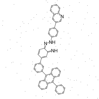 N=C1C=C(c2cccc(-c3c4ccccc4c(-c4ccccc4)c4ccccc34)c2)C=C/C1=N/Nc1ccc(-c2cnc3ccccc3c2)cc1